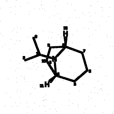 CC(C)N1[C@@H]2CCC[C@H]1CC2